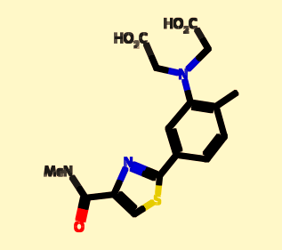 CNC(=O)c1csc(-c2ccc(C)c(N(CC(=O)O)CC(=O)O)c2)n1